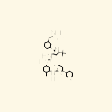 Cc1ccc(NC(=O)Nc2cc(C(C)(C)C)nn2-c2cccc(CC(N)=O)c2)cc1Nc1nccc(-c2cccnc2)n1